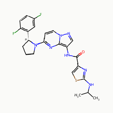 CC(C)Nc1nc(C(=O)Nc2cnn3ccc(N4CCC[C@@H]4c4cc(F)ccc4F)nc23)cs1